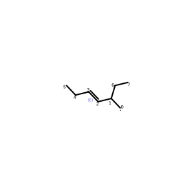 [CH2]C(/C=C/CC)CC